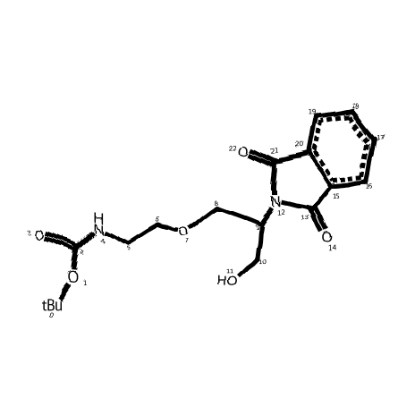 CC(C)(C)OC(=O)NCCOCC(CO)N1C(=O)c2ccccc2C1=O